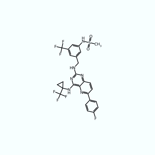 CS(=O)(=O)Nc1cc(CNc2nc(NC3(C(F)(F)F)CC3)c3nc(-c4ccc(F)cc4)ccc3n2)cc(C(F)(F)F)c1